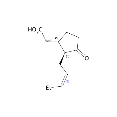 CC/C=C\C[C@@H]1C(=O)CC[C@H]1CC(=O)O